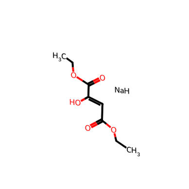 CCOC(=O)C=C(O)C(=O)OCC.[NaH]